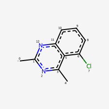 [CH2]c1nc(C)c2c(Cl)cccc2n1